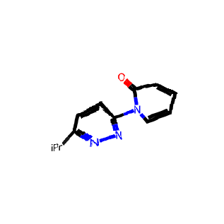 CC(C)c1ccc(-n2ccccc2=O)nn1